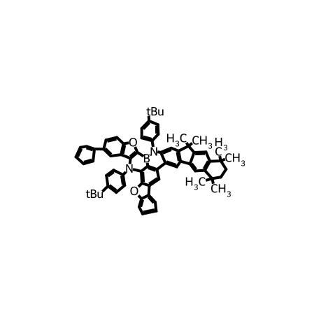 CC(C)(C)c1ccc(N2B3c4oc5ccc(-c6ccccc6)cc5c4N(c4ccc(C(C)(C)C)cc4)c4c3c(cc3c4oc4ccccc43)-c3cc4c(cc32)C(C)(C)c2cc3c(cc2-4)C(C)(C)CCC3(C)C)cc1